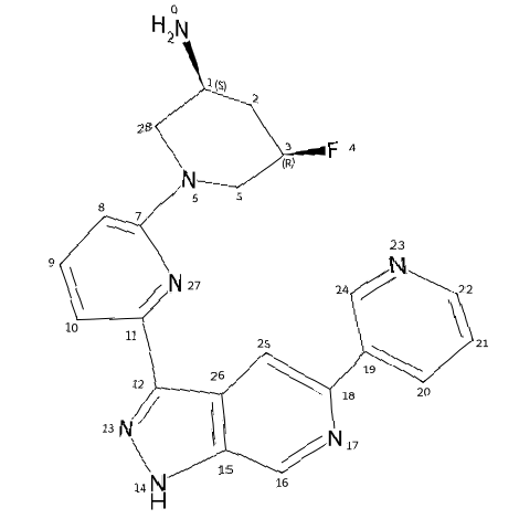 N[C@H]1C[C@@H](F)CN(c2cccc(-c3n[nH]c4cnc(-c5cccnc5)cc34)n2)C1